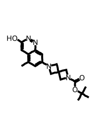 Cc1cc(N2CC3(CN(C(=O)OC(C)(C)C)C3)C2)cc2nnc(O)cc12